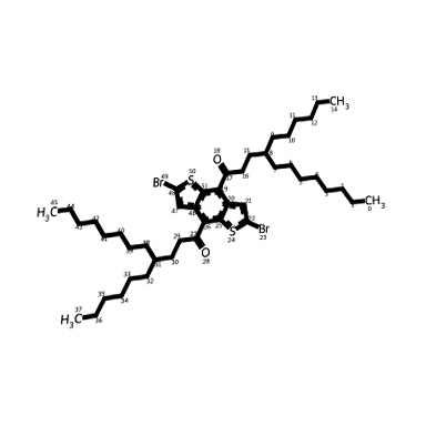 CCCCCCCCC(CCCCCC)CCC(=O)c1c2cc(Br)sc2c(C(=O)CCC(CCCCCC)CCCCCCCC)c2cc(Br)sc12